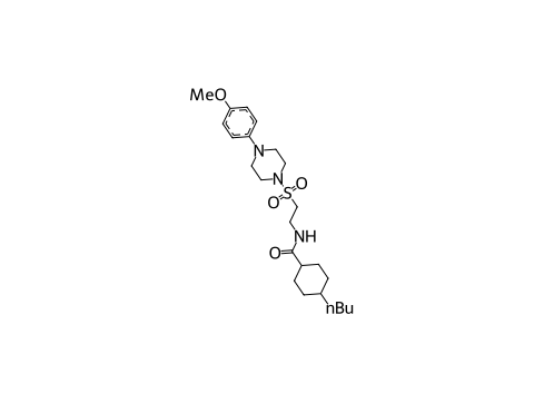 CCCCC1CCC(C(=O)NCCS(=O)(=O)N2CCN(c3ccc(OC)cc3)CC2)CC1